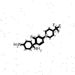 NC1CCC(N)(c2ccc(N3CCC(C(F)(F)F)CC3)cc2F)CC1